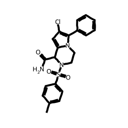 Cc1ccc(S(=O)(=O)N2CCn3c(cc(Cl)c3-c3ccccc3)C2C(N)=O)cc1